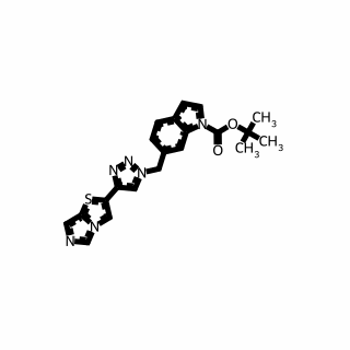 CC(C)(C)OC(=O)n1ccc2ccc(Cn3cc(-c4cn5cncc5s4)nn3)cc21